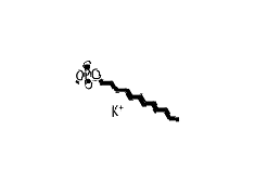 CCCCCCCCCCCCOP(=O)([O-])OC.[K+]